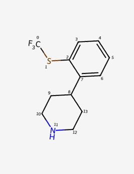 FC(F)(F)Sc1ccccc1C1CCNCC1